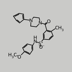 COc1ccc(N[S+]([O-])c2ccc(C)c(C(=O)N3CCN(c4ccccc4)CC3)c2)cc1